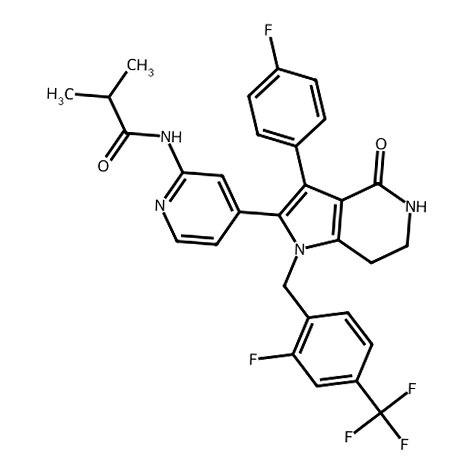 CC(C)C(=O)Nc1cc(-c2c(-c3ccc(F)cc3)c3c(n2Cc2ccc(C(F)(F)F)cc2F)CCNC3=O)ccn1